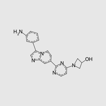 Nc1cccc(-c2cnc3cc(-c4nccc(N5CC(O)C5)n4)ccn23)c1